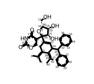 CC(C)=C1CC(C2(c3coc(=O)[nH]c3=O)O[C@H](CO)[C@@H](O)[C@H]2O)=CC(C(c2ccccc2)c2ccccc2)C1=C(C)C